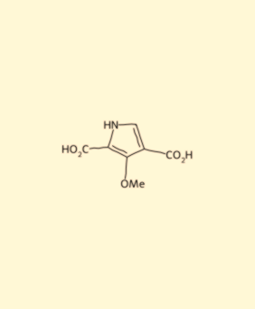 COc1c(C(=O)O)c[nH]c1C(=O)O